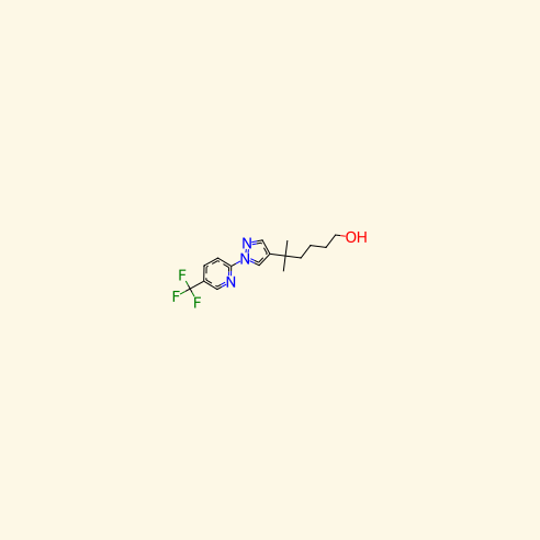 CC(C)(CCCCO)c1cnn(-c2ccc(C(F)(F)F)cn2)c1